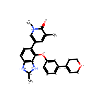 Cc1cc(-c2ccc3c(c2Oc2cccc(C4=CCOCC4)c2)NC(C)N3)cn(C)c1=O